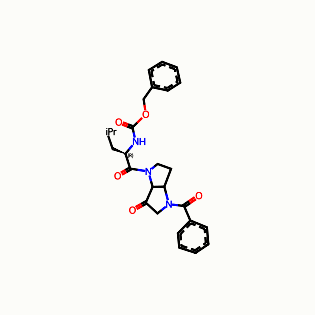 CC(C)C[C@@H](NC(=O)OCc1ccccc1)C(=O)N1CCC2C1C(=O)CN2C(=O)c1ccccc1